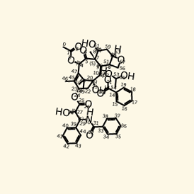 CC(=O)O[C@H]1C(=O)[C@@]2(C)[C@H]([C@H](OC(=O)c3ccccc3)[C@]3(O)C[C@H](OC(=O)[C@H](O)[C@@H](NC(=O)c4ccccc4)c4ccccc4)C(C)=C1C3(C)C)[C@]1(OC(C)O)CO[C@@H]1C[C@@H]2O